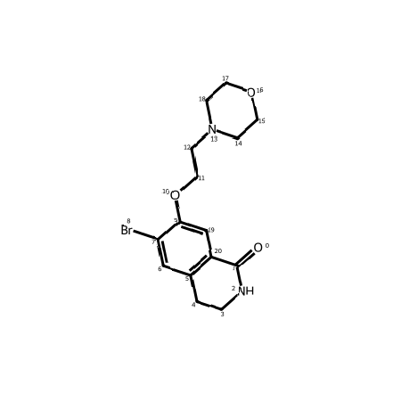 O=C1NCCc2cc(Br)c(OCCN3CCOCC3)cc21